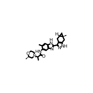 Cc1cc2[nH]c(-c3n[nH]c4c3C[C@@H]3C[C@]3(C)C4)nc2cc1NC(=O)C(C)N1CCO[C@H](C)C1